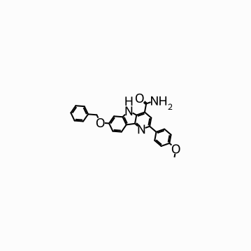 COc1ccc(-c2cc(C(N)=O)c3[nH]c4cc(OCc5ccccc5)ccc4c3n2)cc1